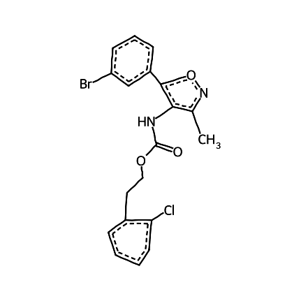 Cc1noc(-c2cccc(Br)c2)c1NC(=O)OCCc1ccccc1Cl